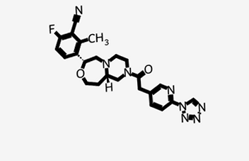 Cc1c([C@@H]2CN3CCN(C(=O)Cc4ccc(-n5cnnn5)nc4)C[C@@H]3CCO2)ccc(F)c1C#N